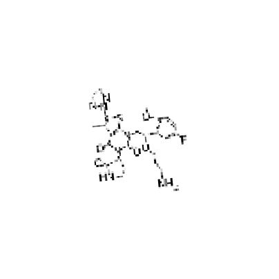 COc1ccc(F)cc1[C@H](Cn1c(=O)n([C@H]2CCNC2=O)c(=O)c2c(C)c(-n3nccn3)sc21)OCCCN